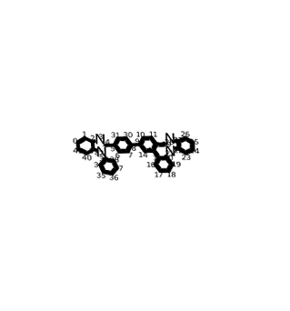 C1=CC2N=C(c3ccc(-c4ccc5c(c4)c4ccccc4n4c6ccccc6nc54)cc3)N(c3ccccc3)C2C=C1